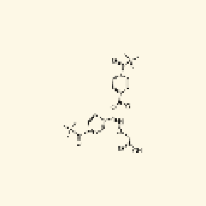 CC(C)(C)C(=O)c1ccc(C(=O)OC(=NOCC(=O)O)c2ccc(C(=O)C(C)(C)C)cc2)cc1